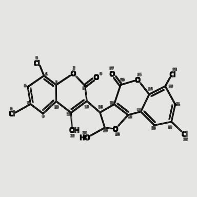 O=c1oc2c(Cl)cc(Cl)cc2c(O)c1C1c2c(c3cc(Cl)cc(Cl)c3oc2=O)OC1O